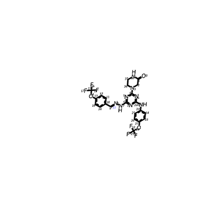 O=C1CN(c2nc(N/N=C/c3ccc(OC(F)(F)F)cc3)nc(Nc3ccc(OC(F)(F)F)cc3)n2)CCN1